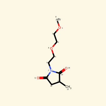 CCCOCCOCCN1C(=O)CC(C)C1=O